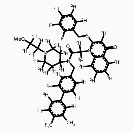 [2H]c1c([2H])c(F)c(F)c(CSc2c([2H])c(=O)c3c([2H])c([2H])c([2H])c([2H])c3n2C([2H])([2H])C(=O)N(Cc2c([2H])c([2H])c(-c3c([2H])c([2H])c(C(F)(F)F)c(C)c3[2H])c([2H])c2[2H])C2([2H])C([2H])([2H])C([2H])([2H])N(C([2H])([2H])C([2H])([2H])OC)C([2H])([2H])C2([2H])[2H])c1[2H]